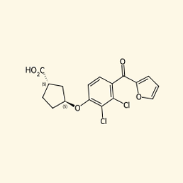 O=C(c1ccco1)c1ccc(O[C@H]2CC[C@H](C(=O)O)C2)c(Cl)c1Cl